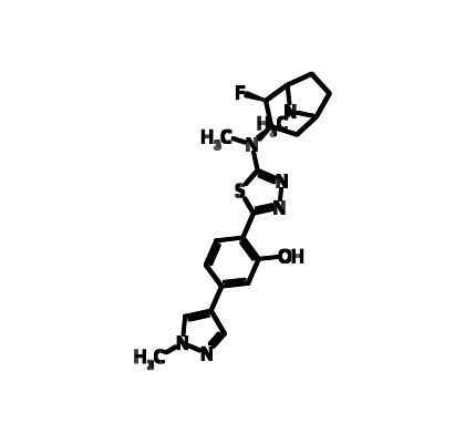 CN1C2CCC1[C@H](F)[C@H](N(C)c1nnc(-c3ccc(-c4cnn(C)c4)cc3O)s1)C2